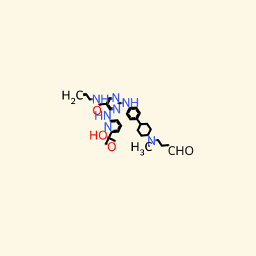 C=CCNC(=O)c1cnc(Nc2ccc(C3CCC(N(C)CCCC=O)CC3)cc2)nc1Nc1cccc(C2(O)COC2)n1